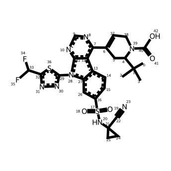 CC(C)(C)C1CC(c2ncnc3c2c2ccc(S(=O)(=O)NC4(C#N)CC4)cc2n3-c2nnc(C(F)F)s2)=CCN1C(=O)O